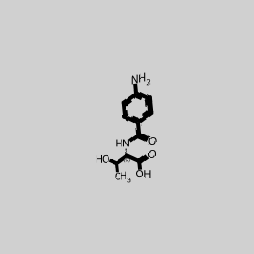 CC(O)[C@H](NC(=O)c1ccc(N)cc1)C(=O)O